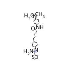 CN(C)c1ccc(NC(=O)CCCCc2ccc(/N=C(\N)c3cccs3)cc2)cc1